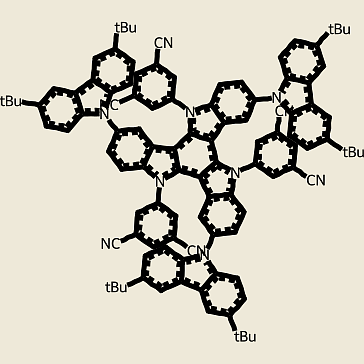 CC(C)(C)c1ccc2c(c1)c1cc(C(C)(C)C)ccc1n2-c1ccc2c(c1)c1c(c3c4cc(-n5c6ccc(C(C)(C)C)cc6c6cc(C(C)(C)C)ccc65)ccc4n(-c4cc(C#N)cc(C#N)c4)c3c3c4cc(-n5c6ccc(C(C)(C)C)cc6c6cc(C(C)(C)C)ccc65)ccc4n(-c4cc(C#N)cc(C#N)c4)c13)n2-c1cc(C#N)cc(C#N)c1